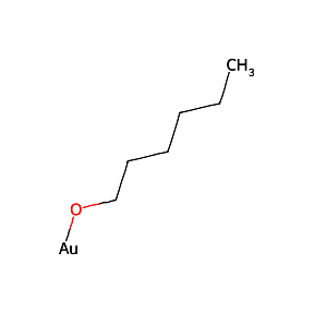 CCCCCC[O][Au]